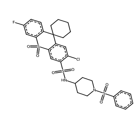 O=S(=O)(NC1CCN(S(=O)(=O)c2ccccc2)CC1)c1cc2c(cc1Cl)C1(CCCCC1)c1ccc(F)cc1S2(=O)=O